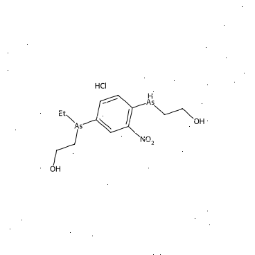 CC[As](CCO)c1ccc([AsH]CCO)c([N+](=O)[O-])c1.Cl